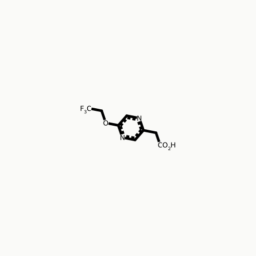 O=C(O)Cc1cnc(OCC(F)(F)F)cn1